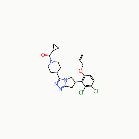 C=CCOc1ccc(Cl)c(Cl)c1C1Cc2nnc(C3CCN(C(=O)C4CC4)CC3)n2C1